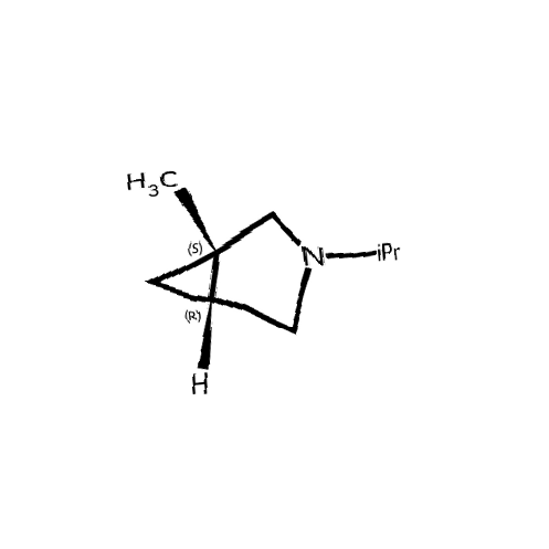 CC(C)N1C[C@@H]2C[C@]2(C)C1